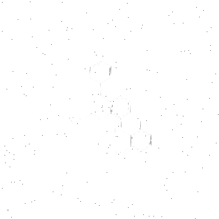 COCOc1c(CC2C=CC=CC2)cccc1Pc1c(C)cccc1F